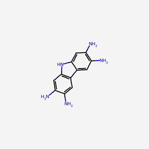 Nc1cc2[nH]c3cc(N)c(N)cc3c2cc1N